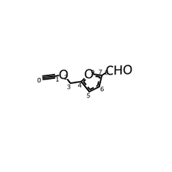 C#COCc1ccc(C=O)o1